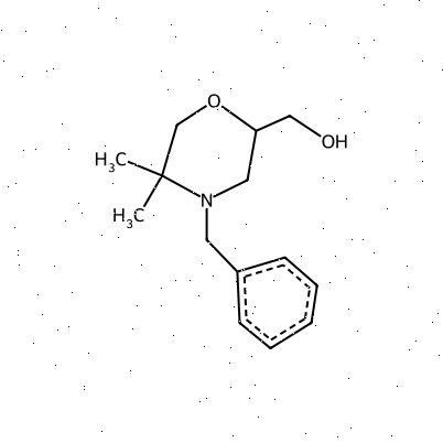 CC1(C)COC(CO)CN1Cc1ccccc1